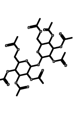 CC(=O)OCC1OC(OC2OC(COC(C)=O)C(OC(C)=O)C(OC(C)=O)C2OC(C)=O)C(OC(C)=O)C(OC(C)=O)C1OC(C)=O